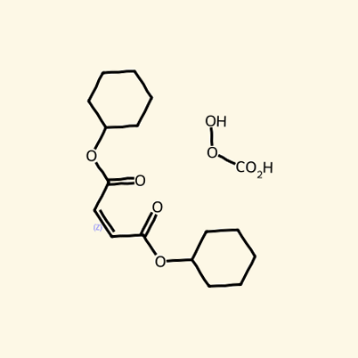 O=C(/C=C\C(=O)OC1CCCCC1)OC1CCCCC1.O=C(O)OO